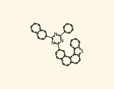 c1ccc(-c2nc(-c3ccc4ccccc4c3)nc(-c3ccc4ccc5ccc6sc7ccccc7c6c5c4c3)n2)cc1